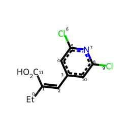 CCC(=Cc1cc(Cl)nc(Cl)c1)C(=O)O